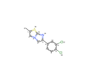 Cc1cn2cc(-c3ccc(Cl)c(Cl)c3)nc2s1